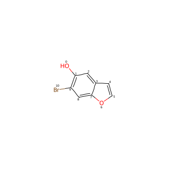 Oc1cc2ccoc2cc1Br